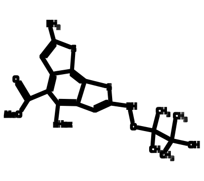 Bc1cc2c(C(=O)OC)c(CCCCCC)c3cc(BOC(C)(C)C(C)(C)O)sc3c2s1